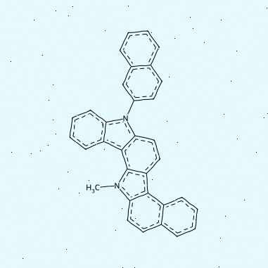 Cn1c2ccc3ccccc3c2c2ccc3c(c4ccccc4n3-c3ccc4ccccc4c3)c21